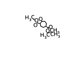 CCOC(=O)C1CCC(C(=O)OC(C)(C)C)CCC1=O